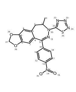 CC1Cc2cc3c(cc2C(c2ccc([N+](=O)[O-])cc2)=NN1c1nnns1)OCO3